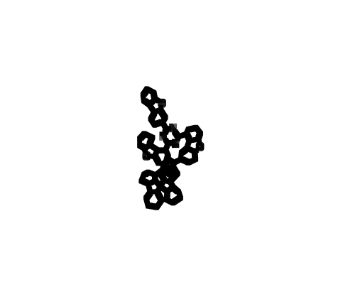 c1ccc2c(c1)-c1ccccc1C21c2ccccc2-c2cccc(-c3ccc(-c4ccc5oc6cccc(-c7nc(-c8ccc9c(c8)oc8ccccc89)nc(-c8cccc9oc%10ccccc%10c89)n7)c6c5c4)cc3)c21